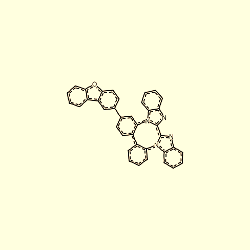 c1ccc2c(c1)nc1c3nc4ccccc4n3c3cc(-c4ccc5oc6ccccc6c5c4)ccc3c3ccccc3n21